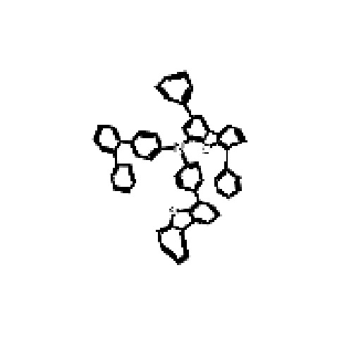 c1ccc(-c2cc(N(c3ccc(-c4ccccc4-c4ccccc4)cc3)c3ccc(-c4cccc5c4sc4ccccc45)cc3)c3oc4c(-c5ccccc5)cccc4c3c2)cc1